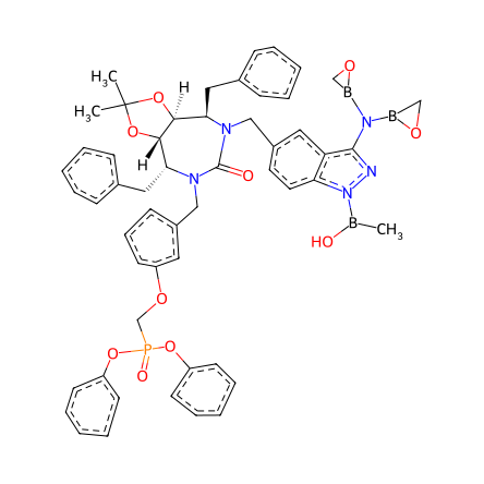 CB(O)n1nc(N(B2CO2)B2CO2)c2cc(CN3C(=O)N(Cc4cccc(OCP(=O)(Oc5ccccc5)Oc5ccccc5)c4)[C@H](Cc4ccccc4)[C@@H]4OC(C)(C)O[C@H]4[C@H]3Cc3ccccc3)ccc21